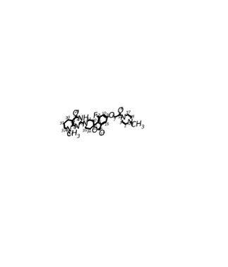 CN1CCN(C(=O)COc2cc(F)c3c(c2)C(=O)OC32CCN(c3nc4c(c(=O)[nH]3)CCCN4C)CC2)CC1